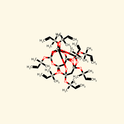 C=C[Si](C)(C)O[Si]12C[Si]3(O[Si](C)(C)C=C)O[Si]4(O[Si](C)(C)C=C)C[Si]5(O[Si](C)(C)C=C)O[Si](O[Si](C)(C)C=C)(C[Si](O[Si](C)(C)C=C)(O1)O4)O[Si](O[Si](C)(C)C=C)(C[Si](O[Si](C)(C)C=C)(O3)O5)O2